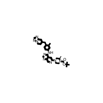 Cc1cc(Nc2ncnc3cnc(N4CCN(C(=O)OC(C)(C)C)[C@H](C)C4)cc23)ccc1Cc1ccn2ncnc2c1